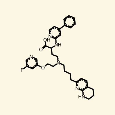 O=C(O)C(CCN(CCCCc1ccc2c(n1)NCCC2)CCOc1cncc(F)c1)Nc1cc(-c2ccccc2)ccn1